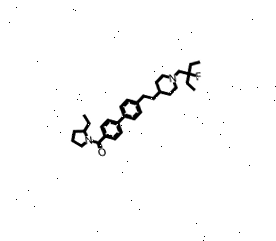 CCC1CCCN1C(=O)c1ccc(-c2ccc(CCC3CCN(CC(F)(CC)CC)CC3)cc2)cc1